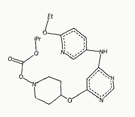 CCOc1ccc(Nc2cc(OC3CCN(OC(=O)OC(C)C)CC3)ncn2)cn1